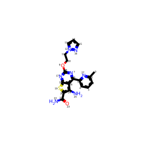 Cc1cccc(-c2nc(OCCn3cccn3)nc3sc(C(N)=O)c(N)c23)n1